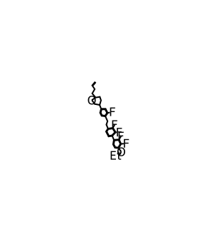 C=CCCC1CCC(c2ccc(CCc3ccc(-c4ccc(OCC)c(F)c4F)c(F)c3F)c(F)c2)CO1